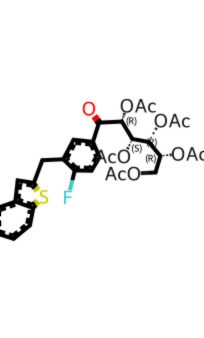 CC(=O)OC[C@@H](OC(C)=O)[C@@H](OC(C)=O)[C@H](OC(C)=O)[C@@H](OC(C)=O)C(=O)c1ccc(F)c(Cc2cc3ccccc3s2)c1